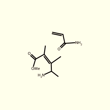 C=CC(N)=O.COC(=O)C(C)=C(C)C(C)N